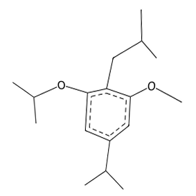 COc1cc(C(C)C)cc(OC(C)C)c1CC(C)C